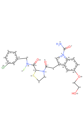 NC(=O)n1cc(CC(=O)N2CCSC2C(=O)N(F)Cc2cccc(Cl)c2)c2cc(OCCO)ccc21